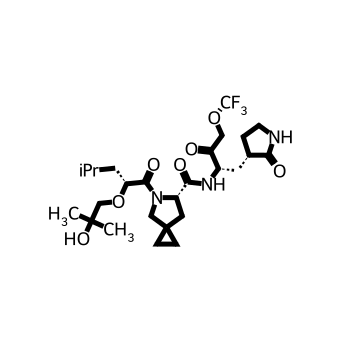 CC(C)C[C@@H](OCC(C)(C)O)C(=O)N1CC2(CC2)C[C@H]1C(=O)N[C@@H](C[C@@H]1CCNC1=O)C(=O)COC(F)(F)F